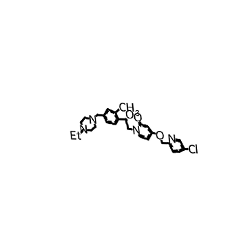 CCN1CCN(Cc2ccc(C(=O)Cn3ccc(OCc4ccc(Cl)cn4)cc3=O)c(C)c2)CC1